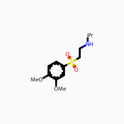 COc1ccc(S(=O)(=O)CCNC(C)C)cc1OC